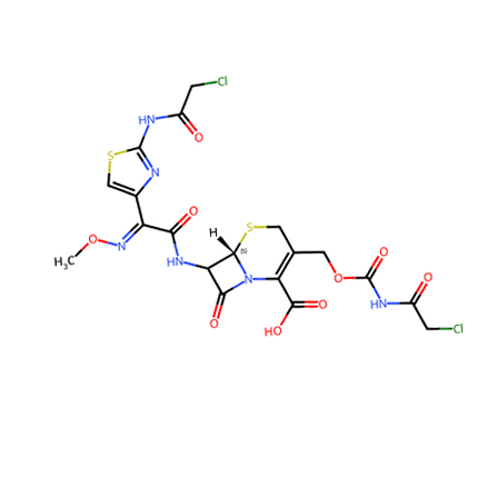 CON=C(C(=O)NC1C(=O)N2C(C(=O)O)=C(COC(=O)NC(=O)CCl)CS[C@@H]12)c1csc(NC(=O)CCl)n1